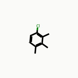 Cc1[c]cc(Cl)c(C)c1C